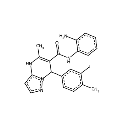 CC1=C(C(=O)Nc2ccccc2N)C(c2ccc(C)c(I)c2)n2nccc2N1